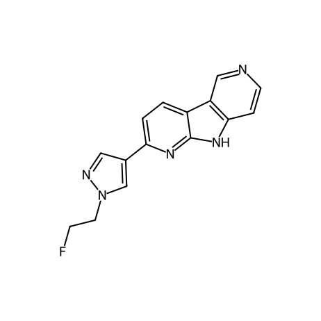 FCCn1cc(-c2ccc3c(n2)[nH]c2ccncc23)cn1